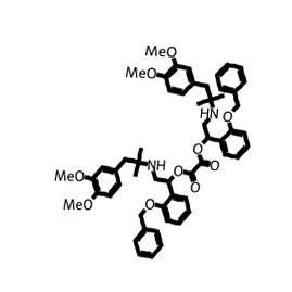 COc1ccc(CC(C)(C)NCC(OC(=O)C(=O)OC(CNC(C)(C)Cc2ccc(OC)c(OC)c2)c2ccccc2OCc2ccccc2)c2ccccc2OCc2ccccc2)cc1OC